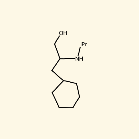 CC(C)NC(CO)CC1CCCCC1